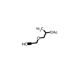 C#CCOCC([CH2])OC(C)=O